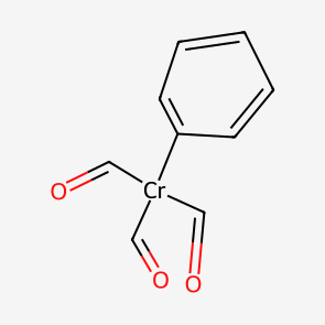 O=[CH][Cr]([CH]=O)([CH]=O)[c]1ccccc1